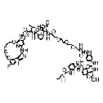 CCCNC(=O)Nc1cccc(S(=O)(=O)Nc2cccc([C@@H](CC(=O)O)NC(=O)Nc3ccc(NC(=O)NCCOCCOCCOCCC(=O)N[C@@H](CC(=O)O)C(=O)N4CCC[C@H]4C(=O)N[C@H](C(=O)N=S(C)(=O)Cc4cc5nc(c4)OCCCCCCOc4cc(F)ccc4-c4cc(ncc4F)N5)C(C)C)cc3)c2)c1